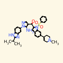 CC(C)c1nc2cc(-n3ncc(C(=O)c4cc5ccc(C6=CCN(C)CC6)cc5n4S(=O)(=O)c4ccccc4)c3N)ccc2[nH]1